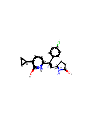 O=C1CC[C@H](/C=C(\c2ccc(Cl)cc2)c2ccc(C3CC3)c(=O)[nH]2)N1